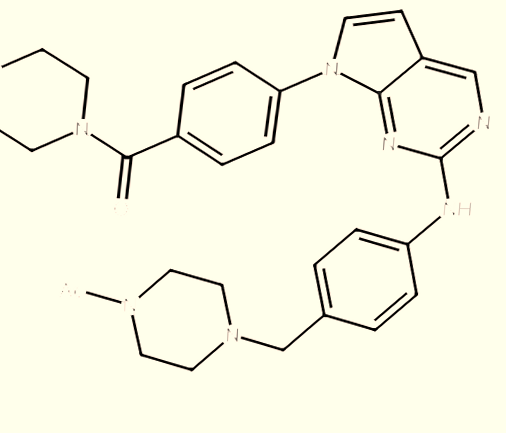 CC(=O)N1CCN(Cc2ccc(Nc3ncc4ccn(-c5ccc(C(=O)N6CCOCC6)cc5)c4n3)cc2)CC1